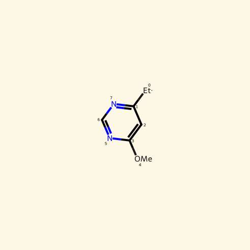 C[CH]c1cc(OC)ncn1